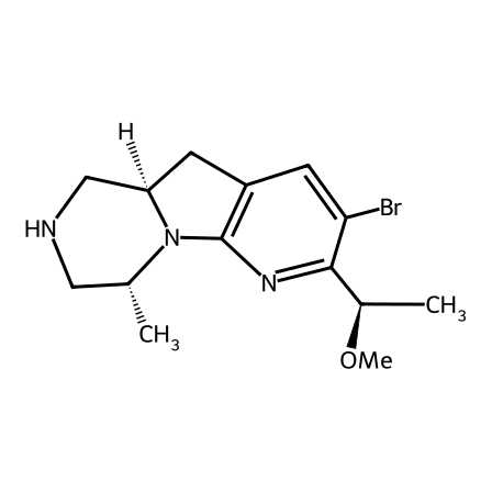 CO[C@H](C)c1nc2c(cc1Br)C[C@@H]1CNC[C@@H](C)N21